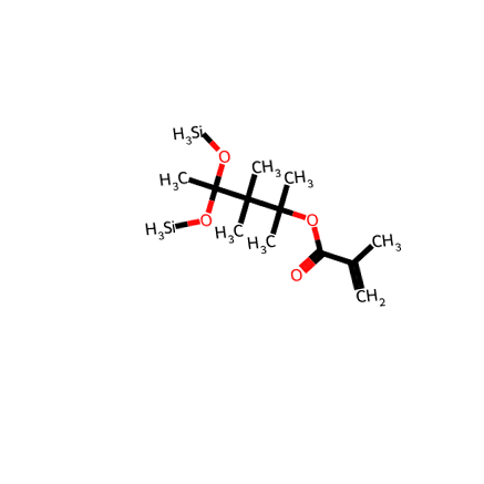 C=C(C)C(=O)OC(C)(C)C(C)(C)C(C)(O[SiH3])O[SiH3]